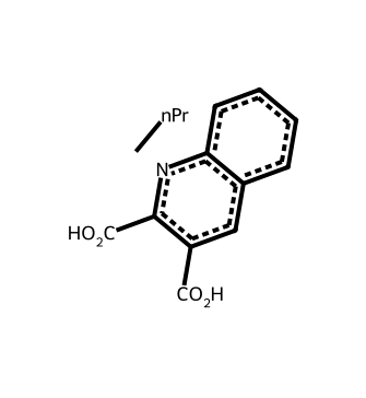 CCCC.O=C(O)c1cc2ccccc2nc1C(=O)O